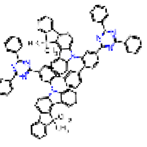 CC1(C)c2ccccc2-c2ccc3c(c21)c1ccccc1n3-c1cc(-c2nc(-c3ccccc3)nc(-c3ccccc3)n2)ccc1-c1cccc(-c2ccc(-c3nc(-c4ccccc4)nc(-c4ccccc4)n3)cc2-n2c3ccccc3c3c4c(ccc32)-c2ccccc2C4(C)C)c1